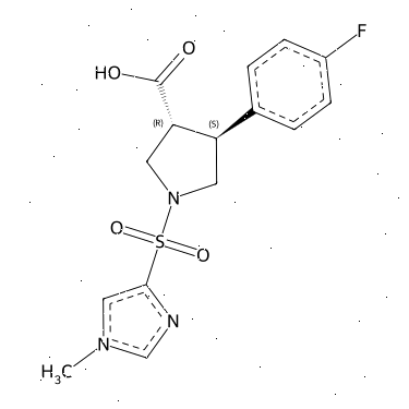 Cn1cnc(S(=O)(=O)N2C[C@H](C(=O)O)[C@@H](c3ccc(F)cc3)C2)c1